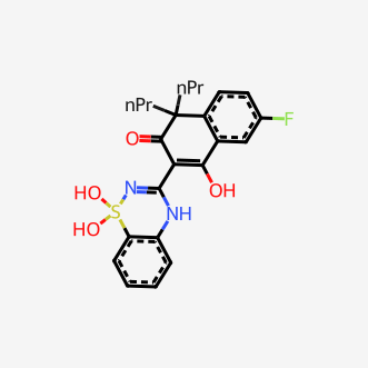 CCCC1(CCC)C(=O)C(C2=NS(O)(O)c3ccccc3N2)=C(O)c2cc(F)ccc21